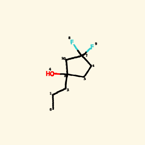 CCCC1(O)CCC(F)(F)C1